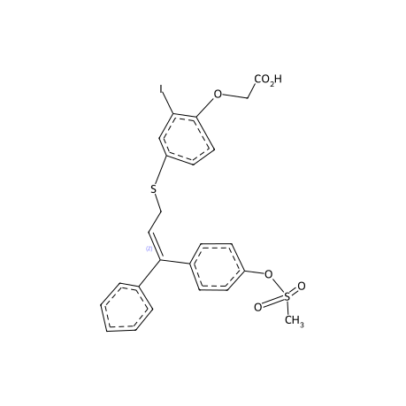 CS(=O)(=O)Oc1ccc(/C(=C\CSc2ccc(OCC(=O)O)c(I)c2)c2ccccc2)cc1